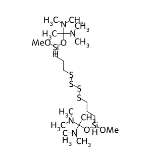 CO[SiH](CCCSSSSCCC[SiH](OC)OC(C)(N(C)C)N(C)C)OC(C)(N(C)C)N(C)C